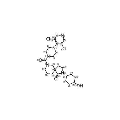 O=C(N1CCN(c2c(Cl)cncc2Cl)CC1)N1CCCC2(CCN([C@H]3CC[C@H](O)CC3)C2=O)C1